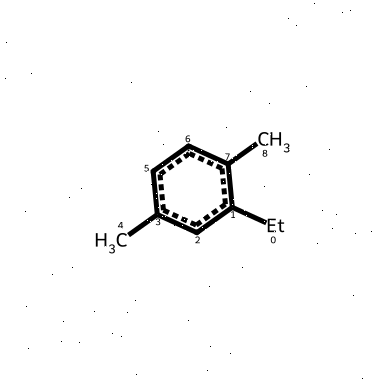 CCc1cc(C)c[c]c1C